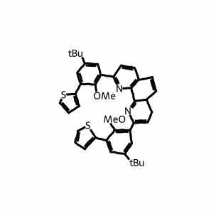 COc1c(C2=CCC3C=Cc4ccc(-c5cc(C(C)(C)C)cc(-c6cccs6)c5OC)nc4C3=N2)cc(C(C)(C)C)cc1-c1cccs1